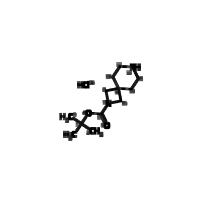 CC(C)(C)OC(=O)N1CC2(CCNCC2)C1.Cl